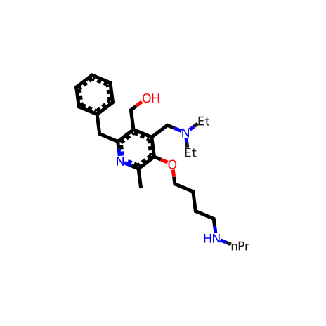 CCCNCCCCOc1c(C)nc(Cc2ccccc2)c(CO)c1CN(CC)CC